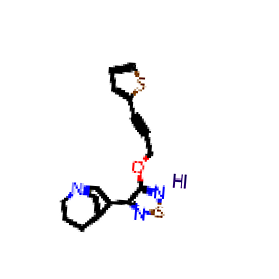 C(#Cc1cccs1)COc1nsnc1C1CN2CCCC1C2.I